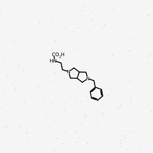 O=C(O)NCCN1CC2CN(Cc3ccccc3)CC2C1